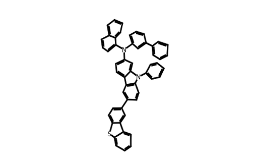 c1ccc(-c2cccc(N(c3ccc4c5cc(-c6ccc7sc8ccccc8c7c6)ccc5n(-c5ccccc5)c4c3)c3cccc4ccccc34)c2)cc1